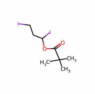 CC(C)(C)C(=O)OC(I)CCI